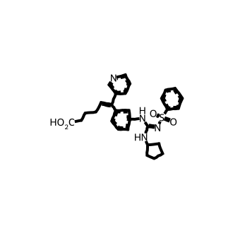 O=C(O)CCCC=C(c1cccnc1)c1cccc(NC(=NS(=O)(=O)c2ccccc2)NC2CCCC2)c1